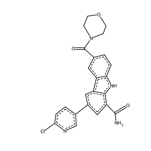 NC(=O)c1cc(-c2ccc(Cl)nc2)cc2c1[nH]c1ccc(C(=O)N3CCOCC3)cc12